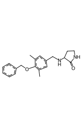 Cc1cc(CNC2CCNC2=O)cc(C)c1OCc1ccccc1